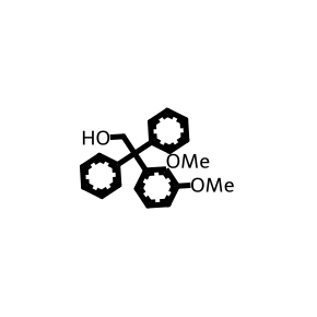 COc1cccc(C(CO)(c2ccccc2)c2ccccc2)c1OC